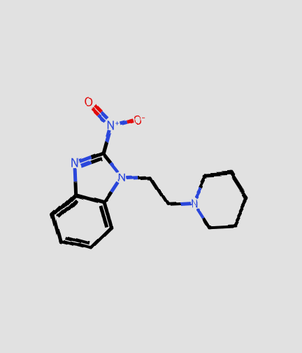 O=[N+]([O-])c1nc2ccccc2n1CCN1CCCCC1